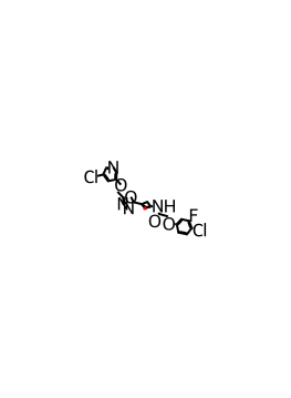 O=C(COc1ccc(Cl)c(F)c1)NC12CC(c3nnc(COc4cncc(Cl)c4)o3)(C1)C2